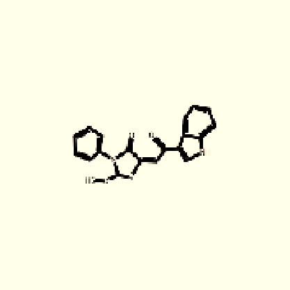 O=C(C=C1SC(OS)N(c2ccccc2)C1=O)c1c[nH]c2ccccc12